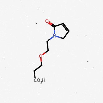 O=C(O)CCOCCN1CC=CC1=O